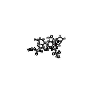 CCS(=O)(=O)c1nc(N2C3CCC2CN(C(=O)O)C3)c2c3c(c(-c4ccc(F)c5sc(NC(=O)OC(C)(C)C)c(C#N)c45)c(F)c2n1)COC3